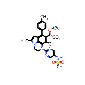 Cc1ccc(-c2c([C@H](OC(C)(C)C)C(=O)O)c(C)c3c4c2cc(C)n4CCN3c2ncc(NS(C)(=O)=O)cn2)cc1